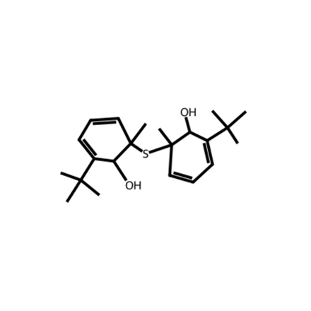 CC(C)(C)C1=CC=CC(C)(SC2(C)C=CC=C(C(C)(C)C)C2O)C1O